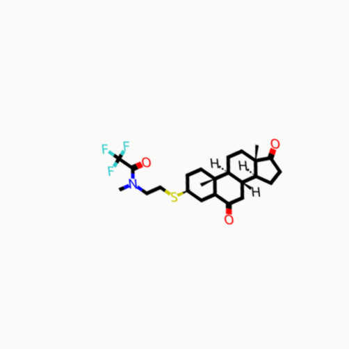 CN(CCS[C@H]1CC[C@@]2(C)C(C1)C(=O)C[C@@H]1[C@@H]2CC[C@]2(C)C(=O)CC[C@@H]12)C(=O)C(F)(F)F